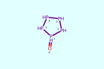 O=[PH]1PPPP1